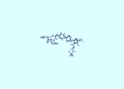 CCCCOC(=O)[C@]1(COC)CC[C@@H](Oc2ccc(-c3ccc(-c4nc(C(F)(F)F)c(C)n4COCC[Si](C)(C)C)cn3)cc2)CC1